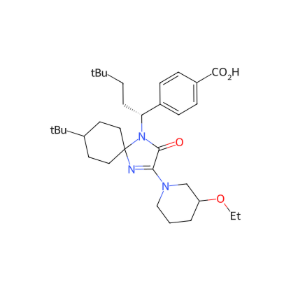 CCOC1CCCN(C2=NC3(CCC(C(C)(C)C)CC3)N([C@H](CCC(C)(C)C)c3ccc(C(=O)O)cc3)C2=O)C1